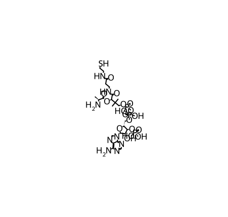 C[C@H](N)C(=O)O[C@@H](C(=O)NCCC(=O)NCCS)C(C)(C)COP(=O)(O)OP(=O)(O)OC[C@H]1O[C@@H](n2cnc3c(N)ncnc32)[C@H](O)[C@@H]1OP(=O)(O)O